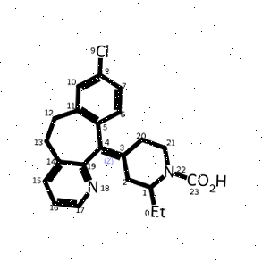 CCC1C/C(=C2/c3ccc(Cl)cc3CCc3cccnc32)CCN1C(=O)O